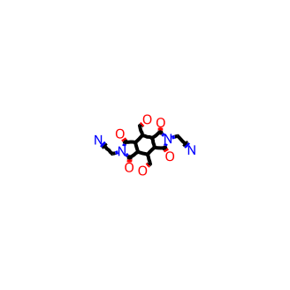 N#CCN1C(=O)C2C(C=O)C3C(=O)N(CC#N)C(=O)C3C(C=O)C2C1=O